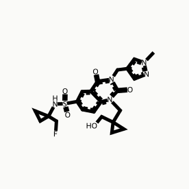 Cn1cc(Cn2c(=O)c3cc(S(=O)(=O)NC4(CF)CC4)ccc3n(CC3(CO)CC3)c2=O)cn1